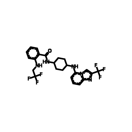 O=C(NC1CCC(Nc2cccc3nc(C(F)(F)F)cn23)CC1)c1ccccc1NCC(F)(F)F